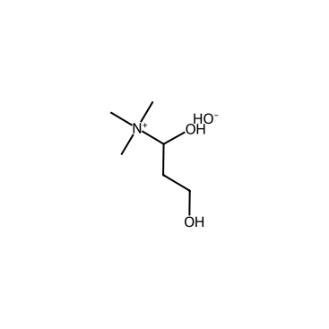 C[N+](C)(C)C(O)CCO.[OH-]